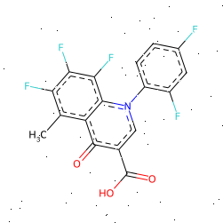 Cc1c(F)c(F)c(F)c2c1c(=O)c(C(=O)O)cn2-c1ccc(F)cc1F